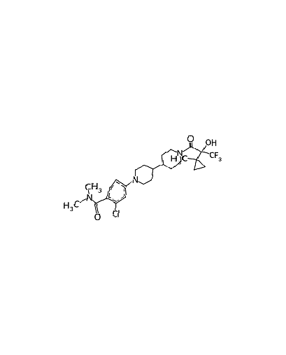 CN(C)C(=O)c1ccc(N2CCC(C3CCN(C(=O)C(O)(C(F)(F)F)C4(C)CC4)CC3)CC2)cc1Cl